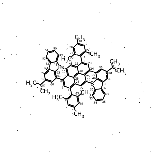 Cc1cc(C)c(-c2cc3c4c(cc5c(-c6c(C)cc(C)cc6C)cc6c7c(cc2c4c57)B2c4ccccc4-c4cc(C(C)C)cc-6c42)B2c4ccccc4-c4cc(C(C)C)cc-3c42)c(C)c1